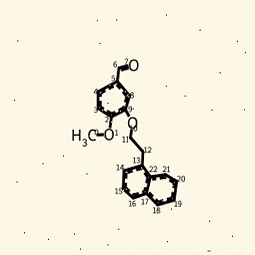 COc1ccc(C=O)cc1OCCc1cccc2ccccc12